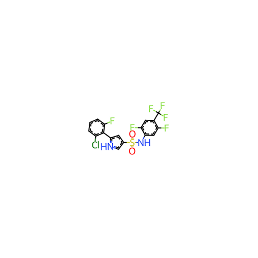 O=S(=O)(Nc1cc(F)c(C(F)(F)F)cc1F)c1c[nH]c(-c2c(F)cccc2Cl)c1